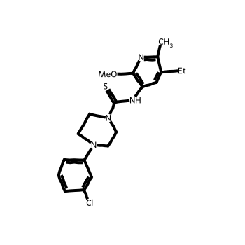 CCc1cc(NC(=S)N2CCN(c3cccc(Cl)c3)CC2)c(OC)nc1C